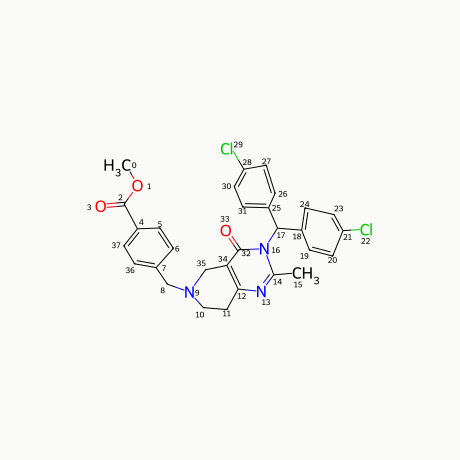 COC(=O)c1ccc(CN2CCc3nc(C)n(C(c4ccc(Cl)cc4)c4ccc(Cl)cc4)c(=O)c3C2)cc1